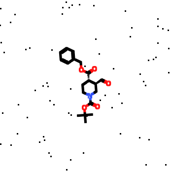 CC(C)(C)OC(=O)N1CC[C@H](C(=O)OCc2ccccc2)[C@@H](C=O)C1